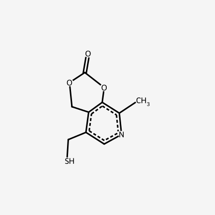 Cc1ncc(CS)c2c1OC(=O)OC2